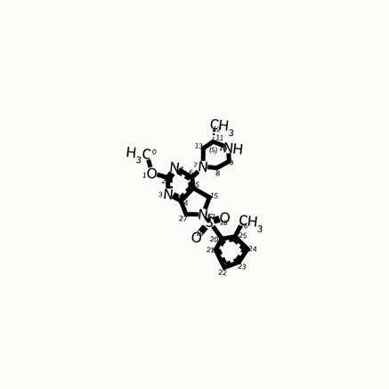 COc1nc2c(c(N3CCN[C@@H](C)C3)n1)CN(S(=O)(=O)c1ccccc1C)C2